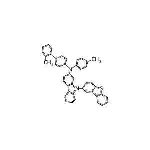 Cc1ccc(N(c2ccc(-c3ccccc3C)cc2)c2ccc3c4ccccc4n(-c4ccc5sc6ccccc6c5c4)c3c2)cc1